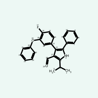 CC(C)c1[nH]c(-c2ccccc2)c(-c2ccc(F)c(Oc3ccccc3)c2)c1C=O